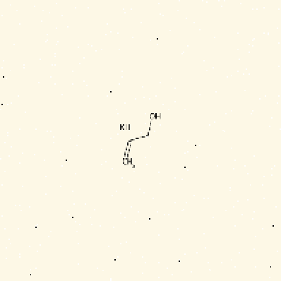 C=CCO.[KH]